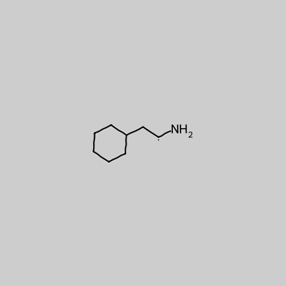 N[CH]CC1CCCCC1